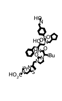 CCC(C)C(C(=O)N[C@@H](Cc1ccccc1)[C@@H](O)CN(CC1CCCC1)S(=O)(=O)c1ccc(C=NO)cc1)N1CCN(Cc2csc(CN(C(=O)O)C(C)C)n2)C1=O